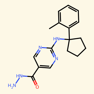 Cc1ccccc1C1(Nc2ncc(C(=O)NN)cn2)CCCC1